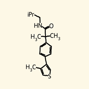 Cc1cscc1-c1ccc(C(C)(C)C(=O)NCC(C)C)cc1